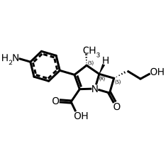 C[C@H]1C(c2ccc(N)cc2)=C(C(=O)O)N2C(=O)[C@@H](CCO)[C@@H]12